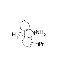 CC(C)C1=CCCC2(C)C3=C(CCC=C3)N(N)C12